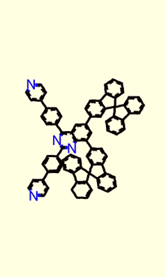 C1=C=C(c2nc(-c3ccc(-c4ccncc4)cc3)c3cc(-c4ccc5c(c4)C4(c6ccccc6-c6ccccc64)c4ccccc4-5)cc(-c4ccc5c(c4)C4(C6=C(CCC=C6)c6ccccc64)c4ccccc4-5)c3n2)C=CC=1c1ccncc1